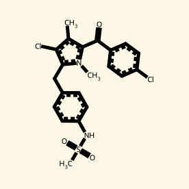 Cc1c(Cl)c(Cc2ccc(NS(C)(=O)=O)cc2)n(C)c1C(=O)c1ccc(Cl)cc1